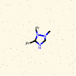 CC(C)C1NCN(C)N1C(C)C